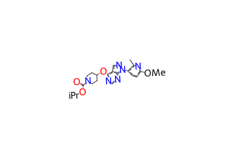 COc1ccc(-n2ncc3c(OC4CCN(C(=O)OC(C)C)CC4)ncnc32)c(C)n1